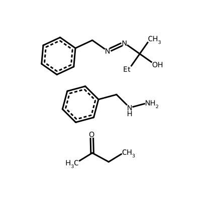 CCC(C)(O)/N=N/Cc1ccccc1.CCC(C)=O.NNCc1ccccc1